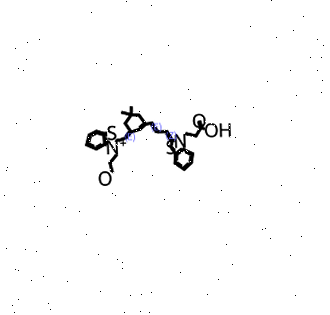 CC1(C)CC(/C=C/C=C2\Sc3ccccc3N2CCC(=O)O)=CC(=C/c2sc3ccccc3[n+]2CCC=O)/C1